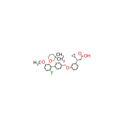 COc1ccc(F)c(-c2ccc(COc3cccc([C@H](CC(=O)O)C4CC4)c3)cc2[C@@H]2OCCCC2(C)C)c1